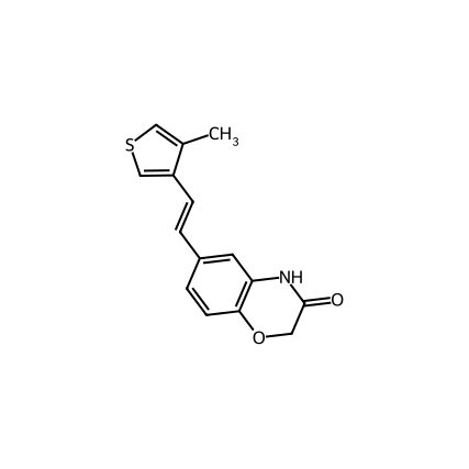 Cc1cscc1C=Cc1ccc2c(c1)NC(=O)CO2